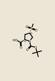 CC(C)(C)OC(=O)N1C[C@@H](S(C)(=O)=O)C[C@@H]1C(=O)O